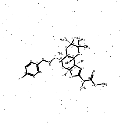 CO[C@@]1(C)O[C@@H]2[C@H]3N=C(N(C)C(=O)OC(C)(C)C)S[C@H]3O[C@H](COCc3ccc(F)cc3)[C@H]2O[C@]1(C)OC